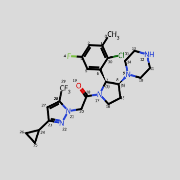 Cc1cc(F)cc([C@H]2[C@@H](N3CCNCC3)CCN2C(=O)Cn2nc(C3CC3)cc2C(F)(F)F)c1Cl